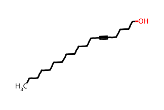 CCCCCCCCCCCCC#CCCCCO